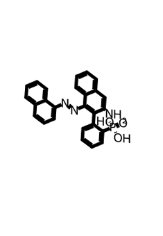 Nc1cc2ccccc2c(N=Nc2cccc3ccccc23)c1-c1ccccc1P(=O)(O)O